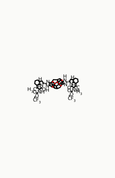 CC1C2CCC[C@H]3C[C@@H](c4nc5cc(-c6cc7ccc6CCc6ccc(c(-c8ccc9[nH]c([C@@H]%10C[C@@H]%11CCCC%12C(C)[C@H](NC(=O)OCC(F)(F)F)C(=O)N%10[C@@H]%12%11)nc9c8)c6)CC7)ccc5[nH]4)N(C(=O)[C@H]1NC(=O)OCC(F)(F)F)[C@@H]23